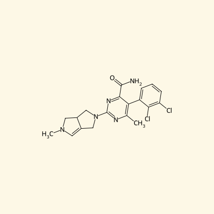 Cc1nc(N2CC3=CN(C)CC3C2)nc(C(N)=O)c1-c1cccc(Cl)c1Cl